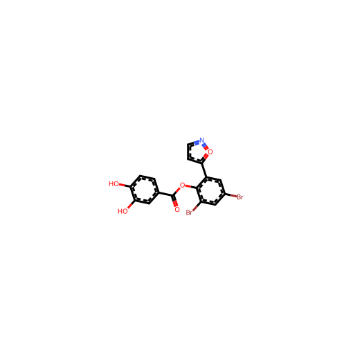 O=C(Oc1c(Br)cc(Br)cc1-c1ccno1)c1ccc(O)c(O)c1